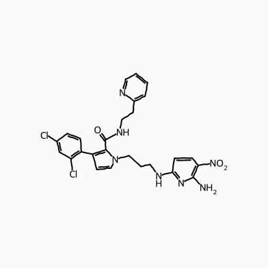 Nc1nc(NCCCn2ccc(-c3ccc(Cl)cc3Cl)c2C(=O)NCCc2ccccn2)ccc1[N+](=O)[O-]